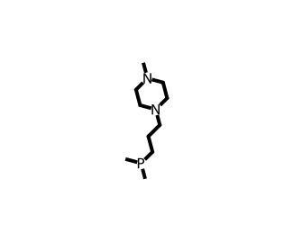 CN1CCN(CCCP(C)C)CC1